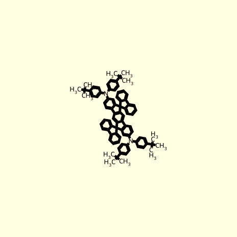 CC(C)(C)c1ccc(N(c2ccc(C(C)(C)C)cc2)c2ccc3c(c2)C2(c4ccccc4-c4ccccc42)c2cc4c(cc2-3)C2(c3ccccc3-c3ccccc32)c2cc(N(c3ccc(C(C)(C)C)cc3)c3ccc(C(C)(C)C)cc3)ccc2-4)cc1